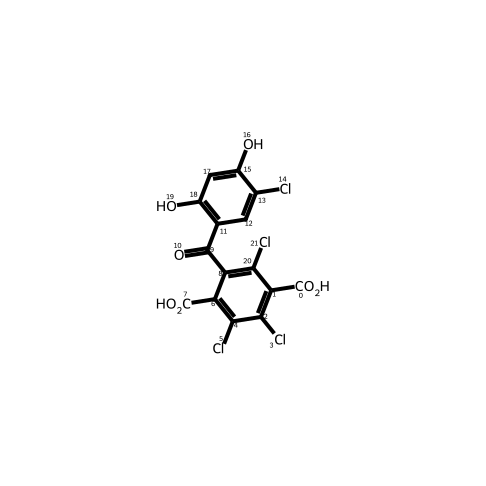 O=C(O)c1c(Cl)c(Cl)c(C(=O)O)c(C(=O)c2cc(Cl)c(O)cc2O)c1Cl